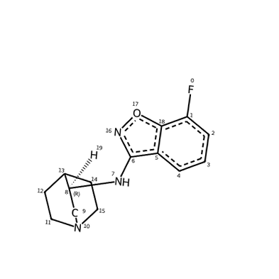 Fc1cccc2c(N[C@H]3CN4CCC3CC4)noc12